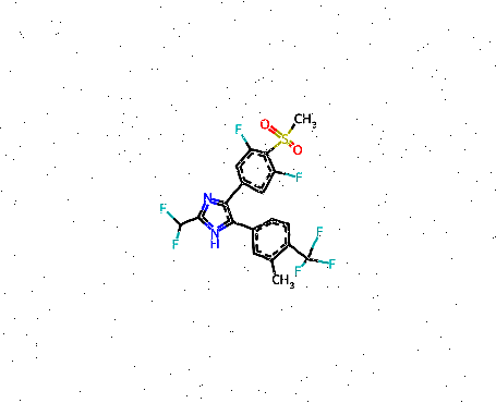 Cc1cc(-c2[nH]c(C(F)F)nc2-c2cc(F)c(S(C)(=O)=O)c(F)c2)ccc1C(F)(F)F